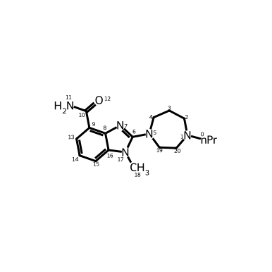 CCCN1CCCN(c2nc3c(C(N)=O)cccc3n2C)CC1